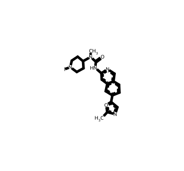 Cc1ncc(-c2ccc3cnc(NC(=O)N(C)C4CCN(I)CC4)cc3c2)o1